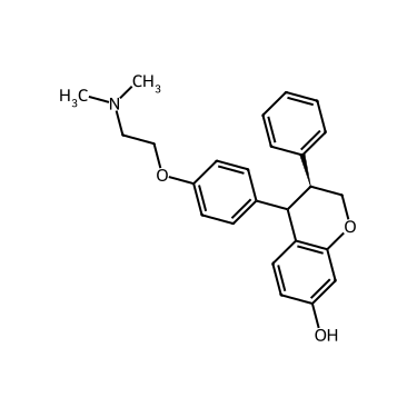 CN(C)CCOc1ccc(C2c3ccc(O)cc3OC[C@@H]2c2ccccc2)cc1